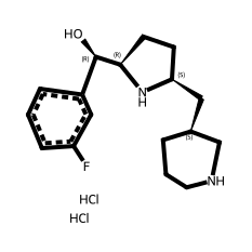 Cl.Cl.O[C@H](c1cccc(F)c1)[C@H]1CC[C@@H](C[C@@H]2CCCNC2)N1